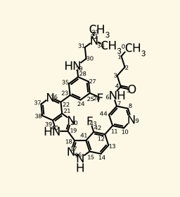 CCCCC(=O)Nc1cncc(-c2ccc3[nH]nc(-c4nc5c(-c6cc(F)cc(NCCN(C)C)c6)nccc5[nH]4)c3c2F)c1